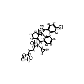 COC(=O)CCC(=O)N(C1CC1)[C@H]1c2ccccc2N(C(=O)c2ccc(Cl)cc2)[C@@H]2CCC[C@@H]21